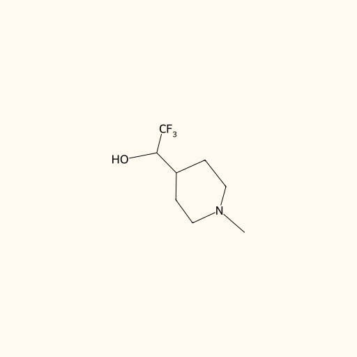 CN1CCC(C(O)C(F)(F)F)CC1